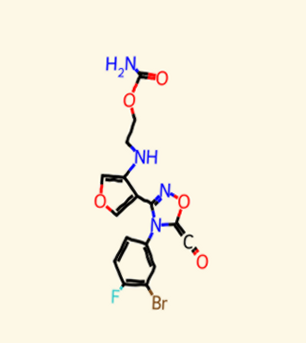 NC(=O)OCCNc1cocc1C1=NOC(=C=O)N1c1ccc(F)c(Br)c1